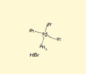 Br.C[CH](C)[Pd]([PH2])([CH](C)C)[CH](C)C